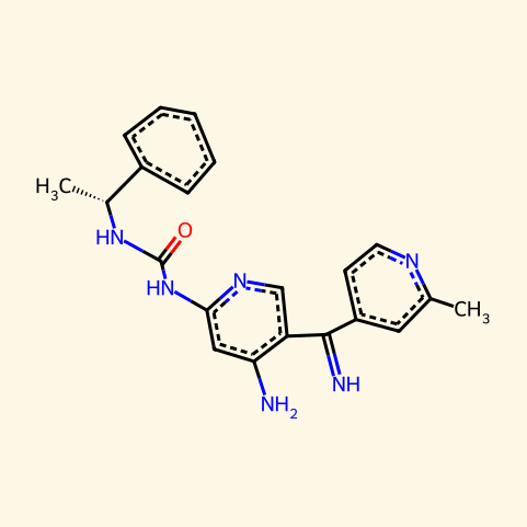 Cc1cc(C(=N)c2cnc(NC(=O)N[C@H](C)c3ccccc3)cc2N)ccn1